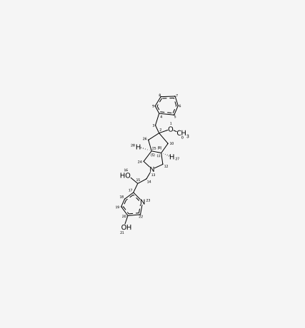 COC1(Cc2ccccc2)C[C@H]2CN(CC(O)c3ccc(O)cn3)C[C@H]2C1